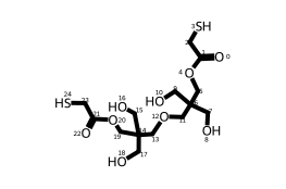 O=C(CS)OCC(CO)(CO)COCC(CO)(CO)COC(=O)CS